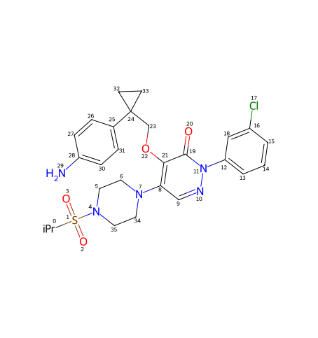 CC(C)S(=O)(=O)N1CCN(c2cnn(-c3cccc(Cl)c3)c(=O)c2OCC2(c3ccc(N)cc3)CC2)CC1